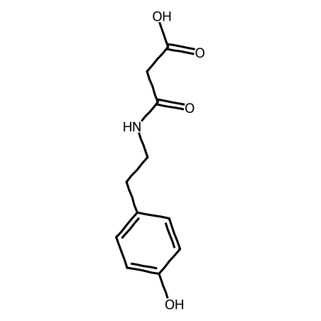 O=C(O)CC(=O)NCCc1ccc(O)cc1